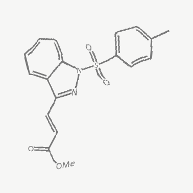 COC(=O)/C=C/c1nn(S(=O)(=O)c2ccc(C)cc2)c2ccccc12